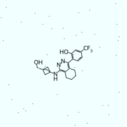 OCC12CC(Nc3nnc(-c4ccc(C(F)(F)F)cc4O)c4c3CCCC4)(C1)C2